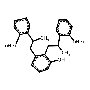 CCCCCCc1ccccc1C(C)Cc1cccc(O)c1CC(C)c1ccccc1CCCCCC